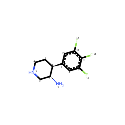 N[C@@H]1CNCC[C@H]1c1cc(F)c(F)c(F)c1